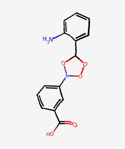 Nc1ccccc1C1OON(c2cccc(C(=O)O)c2)O1